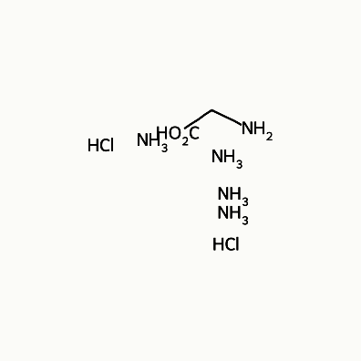 Cl.Cl.N.N.N.N.NCC(=O)O